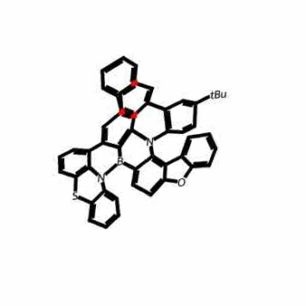 CC(C)(C)c1ccc(N2c3cc(-c4ccccc4)cc4c3B(c3ccc5oc6ccccc6c5c32)N2c3ccccc3Sc3cccc-4c32)c(-c2ccccc2)c1